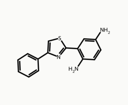 Nc1ccc(N)c(-c2nc(-c3ccccc3)cs2)c1